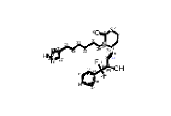 O=C1SCC[C@H](/C=C/[C@@H](O)C(F)(F)c2ccccc2)N1CCCCCCc1cn[nH]n1